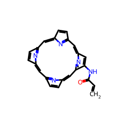 C=CC(=O)NC1=CC2=CC3=NC(=CC4=NC(=CC5=NC(=CC1=N2)C=C5)C=C4)C=C3